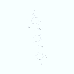 CCCc1ccc(OC(=O)c2ccc(CC(=O)c3ccc(OCC)c(F)c3O)cc2)cc1F